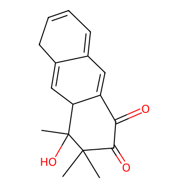 CC1(C)C(=O)C(=O)C2=CC3=CC=CCC3=CC2C1(C)O